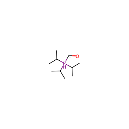 CC(C)[PH](C=O)(C(C)C)C(C)C